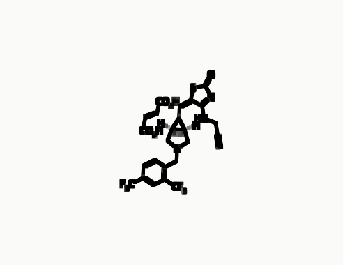 C#CCNC1=NC(=O)SC1=CC1[C@H]2CN(Cc3ccc(C(F)(F)F)cc3C(F)(F)F)C[C@@H]12.O=C(O)C=CC(=O)O